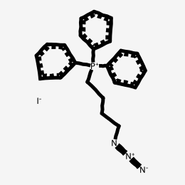 [I-].[N-]=[N+]=NCCCC[P+](c1ccccc1)(c1ccccc1)c1ccccc1